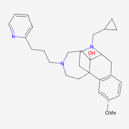 COc1ccc2c(c1)C13CCN(CCCc4ccccn4)CCC1(O)C(C2)N(CC1CC1)CC3